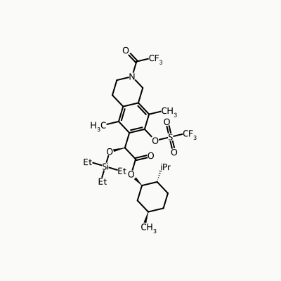 CC[Si](CC)(CC)O[C@H](C(=O)O[C@@H]1C[C@H](C)CC[C@H]1C(C)C)c1c(C)c2c(c(C)c1OS(=O)(=O)C(F)(F)F)CN(C(=O)C(F)(F)F)CC2